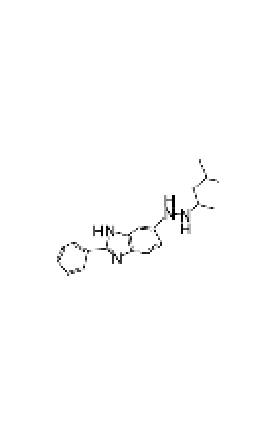 CC(C)CC(C)NNc1ccc2nc(-c3ccccc3)[nH]c2c1